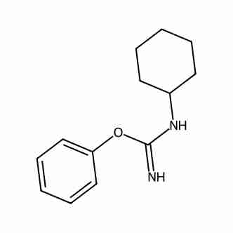 N=C(NC1CCCCC1)Oc1ccccc1